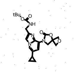 CC(C)(C)OC(=O)NCc1cn2cc(C3CC3)cc(N3CC4(COC4)OC3=O)c2n1